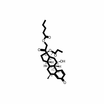 CCCCC(=O)OCC(=O)[C@@]1(OC(=O)CC)CC[C@H]2[C@@H]3C[C@H](C)C4=CC(=O)C=C[C@]4(C)[C@H]3[C@@H](O)C[C@@]21C